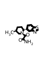 C[C@H]1CC[C@H](c2ccc3scnc3c2)N(C(=O)C(N)=O)C1